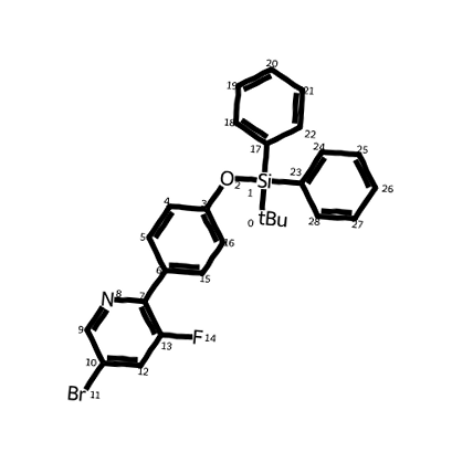 CC(C)(C)[Si](Oc1ccc(-c2ncc(Br)cc2F)cc1)(c1ccccc1)c1ccccc1